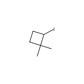 CC1(C)CCC1I